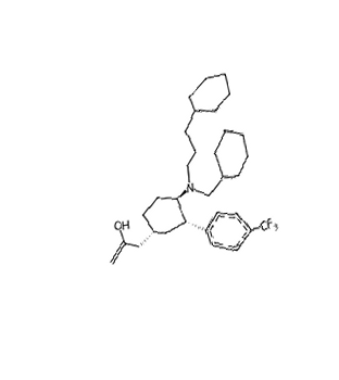 C=C(O)C[C@@H]1CC[C@@H](N(CCCC2CCCCC2)CC2CCCCC2)[C@H](c2ccc(C(F)(F)F)cc2)C1